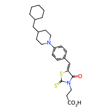 O=C(O)CCN1C(=O)C(=Cc2ccc(N3CCC(CC4CCCCC4)CC3)cc2)SC1=S